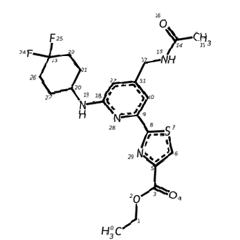 CCOC(=O)c1csc(-c2cc(CNC(C)=O)cc(NC3CCC(F)(F)CC3)n2)n1